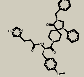 COc1ccc(C[C@@H](NC(=O)CCc2c[nH]cn2)C(=O)N2CCC3(CC2)C(=O)N(Cc2cccnc2)CN3c2ccccc2)cc1